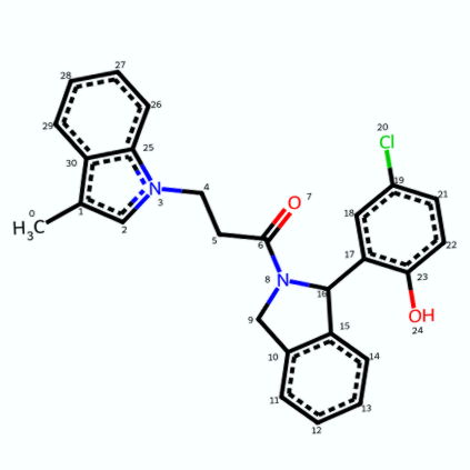 Cc1cn(CCC(=O)N2Cc3ccccc3C2c2cc(Cl)ccc2O)c2ccccc12